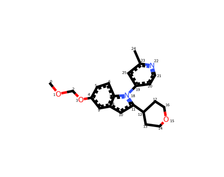 COCOc1ccc2c(c1)cc(C1CCOCC1)n2-c1ccnc(C)c1